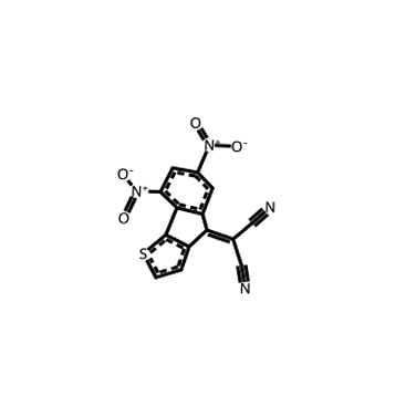 N#CC(C#N)=C1c2ccsc2-c2c1cc([N+](=O)[O-])cc2[N+](=O)[O-]